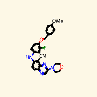 COc1ccc(COc2ccc(Nc3ccc4ncc(N5CCOCC5)nc4c3C#N)cc2F)cc1